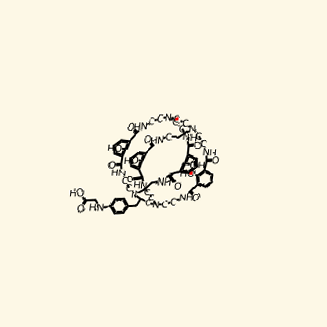 O=C(O)CNc1ccc(CC2CN3CCNC(=O)c4cccc(c4O)C(=O)NCCN(CCNC(=O)c4cccc(c4O)C(=O)NCC3)CCN3CCNC(=O)c4cccc(c4O)C(=O)NCCN2CCNC(=O)c2cccc(c2O)C(=O)NCC3)cc1